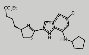 CCOC(=O)CCC[C@@H]1CSC(c2cc3cc(Cl)cc(NC4CCCC4)c3[nH]2)=N1